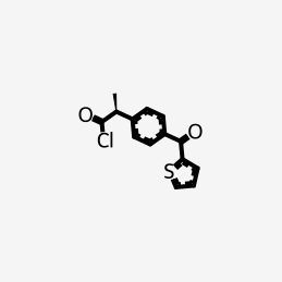 C[C@H](C(=O)Cl)c1ccc(C(=O)c2cccs2)cc1